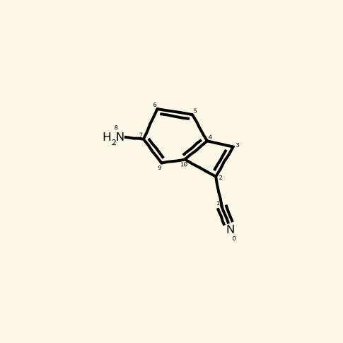 N#CC1=Cc2ccc(N)cc21